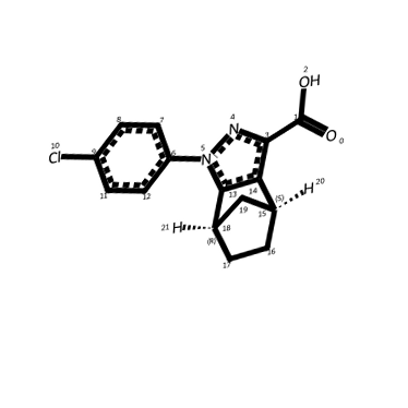 O=C(O)c1nn(-c2ccc(Cl)cc2)c2c1[C@H]1CC[C@@H]2C1